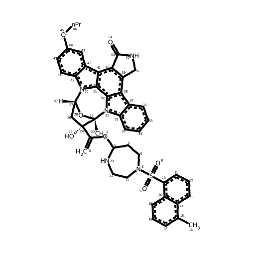 C=C(OC1CCN(S(=O)(=O)c2cccc3c(C)cccc23)CCN1)[C@@]1(O)C[C@H]2O[C@]1(C)n1c3ccccc3c3c4c(c5c6cc(OCCC)ccc6n2c5c31)C(=O)NC4